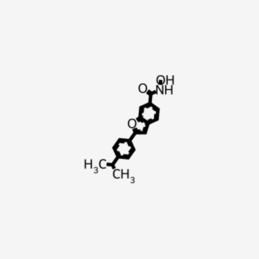 CC(C)c1ccc(-c2cc3ccc(C(=O)NO)cc3o2)cc1